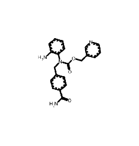 NC(=O)c1ccc(CN(C(=O)OCc2cccnc2)c2ccccc2N)cc1